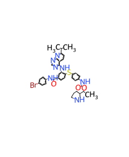 CC(C)c1ccc2c(Nc3cc(C(=O)Nc4ccc(Br)cc4)ccc3Sc3ccc(NC(=O)OC(C)C4CCCNC4)cc3)ncnc2n1